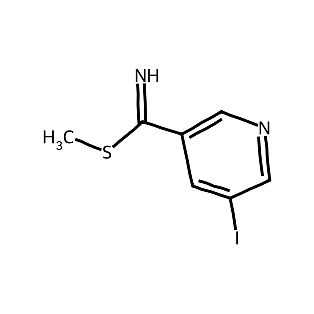 CSC(=N)c1cncc(I)c1